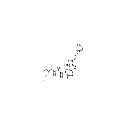 CCCCC(CC)CNC(=O)Nc1cc(NC(=O)NCCCN2CCOCC2)ccc1C